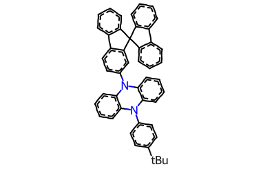 CC(C)(C)c1ccc(N2c3ccccc3N(c3ccc4c(c3)C3(c5ccccc5-c5ccccc53)c3ccccc3-4)c3ccccc32)cc1